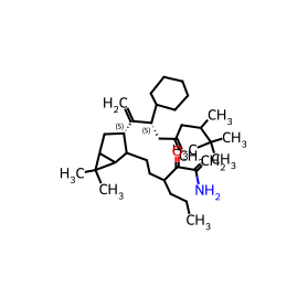 C=C(CC(C)C(C)(C)C)C[C@H](C(=C)[C@H]1CC2C(C1CCC(CCC)C(=O)C(=C)N)C2(C)C)C1CCCCC1